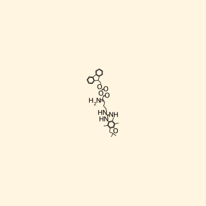 Cc1c(C)c2c(c(C)c1NC(=N)NCCC[C@H](N)C(=O)OC(=O)OCC1c3ccccc3-c3ccccc31)CC(C)(C)O2